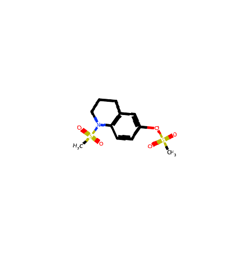 CS(=O)(=O)Oc1ccc2c(c1)CCCN2S(C)(=O)=O